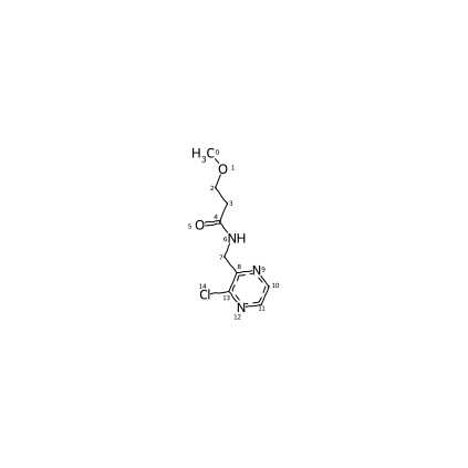 COCCC(=O)NCc1nccnc1Cl